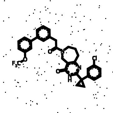 O=C(Cc1cccc(-c2cccc(OC(F)(F)F)c2)c1)N1CCCc2nc(C3(c4cccc(Cl)c4)CC3)[nH]c(=O)c2C1